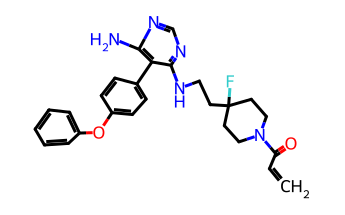 C=CC(=O)N1CCC(F)(CCNc2ncnc(N)c2-c2ccc(Oc3ccccc3)cc2)CC1